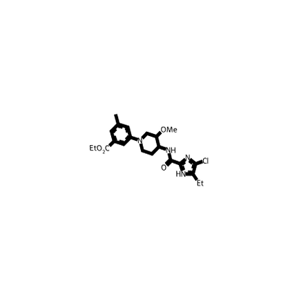 CCOC(=O)c1cc(C)cc(N2CCC(NC(=O)c3nc(Cl)c(CC)[nH]3)C(OC)C2)c1